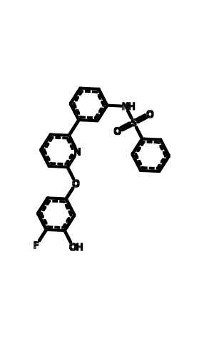 O=S(=O)(Nc1cccc(-c2cccc(Oc3ccc(F)c(O)c3)n2)c1)c1ccccc1